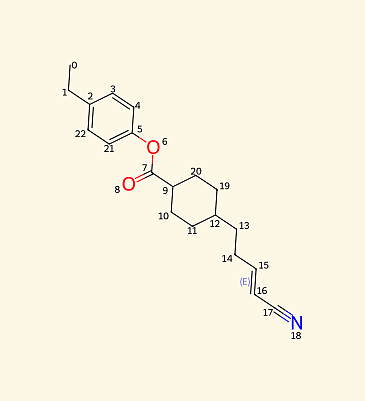 CCc1ccc(OC(=O)C2CCC(CC/C=C/C#N)CC2)cc1